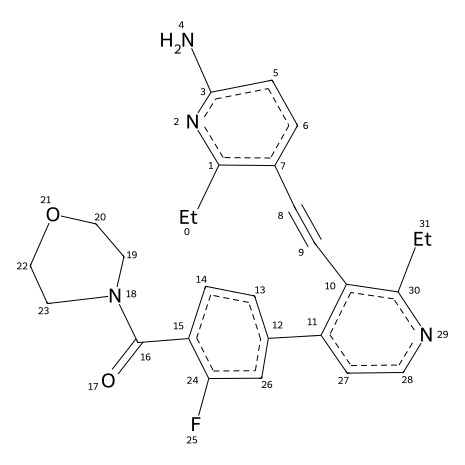 CCc1nc(N)ccc1C#Cc1c(-c2ccc(C(=O)N3CCOCC3)c(F)c2)ccnc1CC